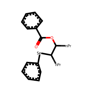 CCCC(OC(=O)c1ccccc1)C(CCC)[Se]c1ccccc1